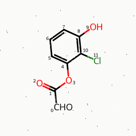 O=CC(=O)Oc1cccc(O)c1Cl